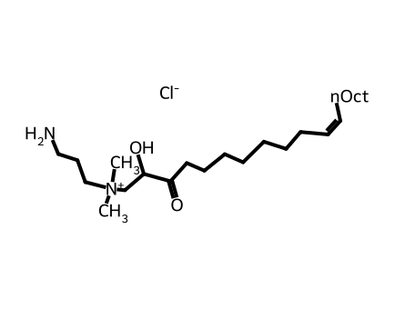 CCCCCCCC/C=C\CCCCCCCC(=O)C(O)C[N+](C)(C)CCCN.[Cl-]